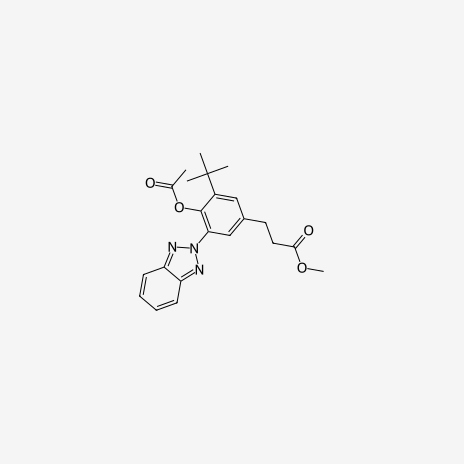 COC(=O)CCc1cc(-n2nc3ccccc3n2)c(OC(C)=O)c(C(C)(C)C)c1